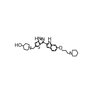 OC1CCN(Cc2cc3[nH]nc(-c4cc5ccc(OCCCN6CCCCC6)cc5[nH]4)c3s2)CC1